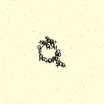 C=C1CC2CCC(=O)/C=C/C(O[Si](C)(C)C(C)(C)C)[C@@H]3O[C@H]4CC[C@H](CC(=O)C[C@@H]5[C@@H](OC)[C@@H](CC(CO[Si](C)(C)C(C)(C)C)O[Si](C)(C)C(C)(C)C)O[C@H]5C[C@H]5O[C@@H](CC[C@@H]1O2)C[C@@H](C)C5=C)O[C@@H]4C(O[Si](C)(C)C(C)(C)C)C3(C)O[Si](C)(C)C(C)(C)C